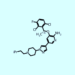 CC(C)CCN1CCC(n2cc(-c3cnc(N)c(O[C@H](C)c4c(Cl)ccc(F)c4Cl)c3)cn2)CC1